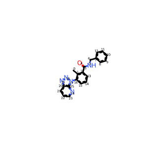 Cc1c(C(=O)NCc2ccccc2)cccc1-n1nnc2cccnc21